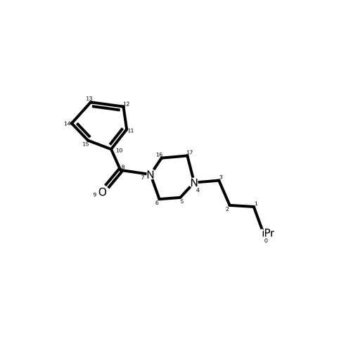 CC(C)CCCN1CCN(C(=O)c2ccccc2)CC1